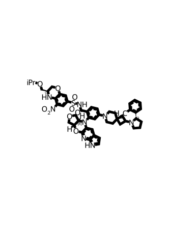 Cc1ccccc1[C@@H]1CCCN1C1CC2(CCN(c3ccc(C(=O)NS(=O)(=O)c4cc5c(c([N+](=O)[O-])c4)N[C@@H](COC(C)C)CO5)c(N4c5cc6cc[nH]c6nc5O[C@@H]5COC[C@H]54)c3)CC2)C1